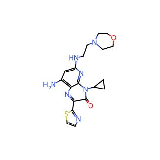 Nc1cc(NCCN2CCOCC2)nc2c1nc(-c1nccs1)c(=O)n2C1CC1